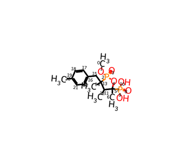 COP1(=O)OC(C)(P(=O)(O)O)C(C)C1(C)Cc1ccc(C)cc1